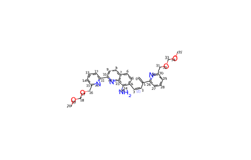 C=C(/C=C\c1ccc2ccc(-c3cccc(COCOC)n3)nc2c1N)c1cccc(COCOC)n1